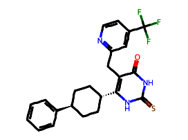 O=c1[nH]c(=S)[nH]c([C@H]2CC[C@H](c3ccccc3)CC2)c1Cc1cc(C(F)(F)F)ccn1